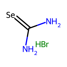 Br.NC(N)=[Se]